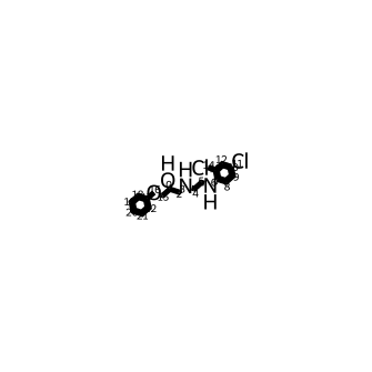 OC(CNCCNc1ccc(Cl)cc1Cl)COc1ccccc1